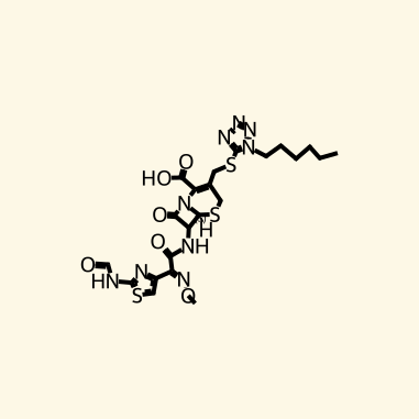 CCCCCCn1nnnc1SCC1=C(C(=O)O)N2C(=O)C(NC(=O)C(=NOC)c3csc(NC=O)n3)[C@@H]2SC1